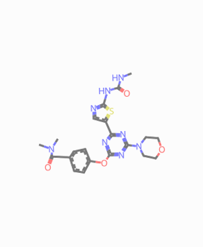 CNC(=O)Nc1ncc(-c2nc(Oc3ccc(C(=O)N(C)C)cc3)nc(N3CCOCC3)n2)s1